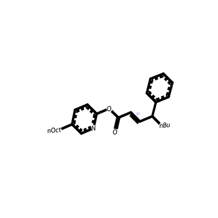 CCCCCCCCc1ccc(OC(=O)/C=C/C(CCCC)c2ccccc2)nc1